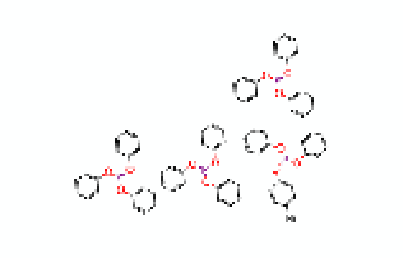 [Ni][c]1ccc(OP(Oc2ccccc2)Oc2ccccc2)cc1.c1ccc(OP(Oc2ccccc2)Oc2ccccc2)cc1.c1ccc(OP(Oc2ccccc2)Oc2ccccc2)cc1.c1ccc(OP(Oc2ccccc2)Oc2ccccc2)cc1